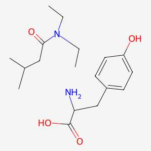 CCN(CC)C(=O)CC(C)C.NC(Cc1ccc(O)cc1)C(=O)O